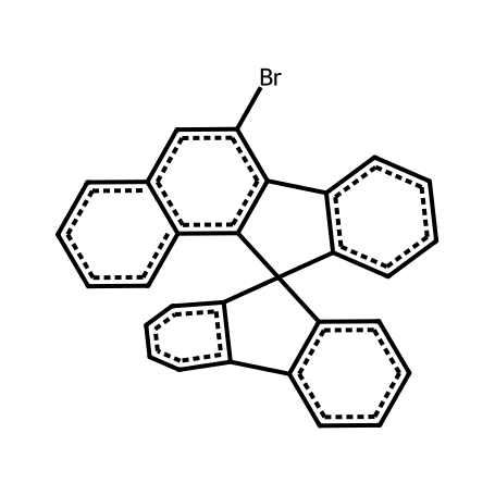 Brc1cc2ccccc2c2c1-c1ccccc1C21c2ccccc2-c2ccccc21